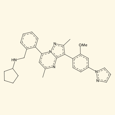 COc1cc(-n2cccn2)ccc1-c1c(C)nn2c(-c3ccccc3CNC3CCCC3)cc(C)nc12